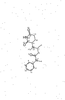 CC(CC(=O)N(C)c1ccccc1)N(C)C1CCC(=O)NC1=O